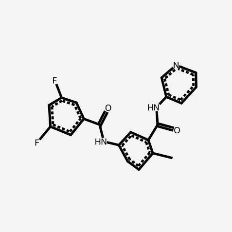 Cc1ccc(NC(=O)c2cc(F)cc(F)c2)cc1C(=O)Nc1cccnc1